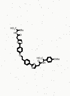 COc1ccc(C(NC(=O)Cc2csc(-c3ccc(CCOc4ccc(-c5nc(CC(=O)NC(C(=O)O)C(C)(C)C)cs5)cc4)cc3)n2)C(=O)O)cc1